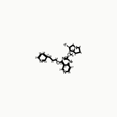 F[C@H]1CN2CCC[C@@]2(COc2nc(OCCCc3cccnc3)c3cnccc3n2)C1